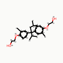 Cc1cc(C(CC(C)C)(c2ccc(OCCO)c(C)c2)C(C)C)ccc1OCCO